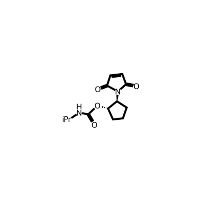 CC(C)NC(=O)O[C@H]1CCC[C@@H]1N1C(=O)C=CC1=O